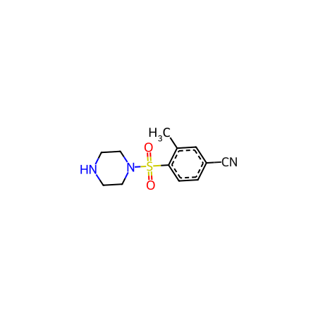 Cc1cc(C#N)ccc1S(=O)(=O)N1CCNCC1